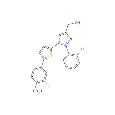 O=C(O)c1ccc(-c2ccc(-c3cc(CO)nn3-c3ccccc3Cl)s2)cc1F